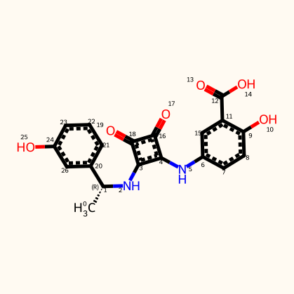 C[C@@H](Nc1c(Nc2ccc(O)c(C(=O)O)c2)c(=O)c1=O)c1cccc(O)c1